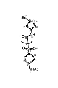 CC(=O)Nc1ccc(S(=O)(=O)C(C)(C)C(=O)Nc2cc(C(C)(C)C)on2)cc1